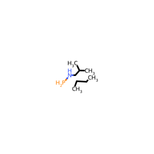 CC(C)CNP.CCCC